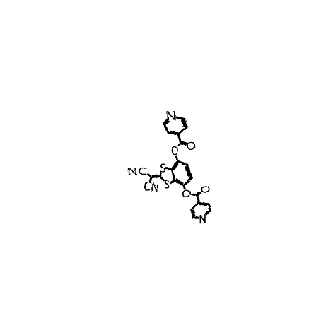 N#CC(C#N)=C1Sc2c(OC(=O)c3ccncc3)ccc(OC(=O)c3ccncc3)c2S1